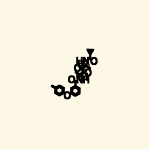 Cc1ccc(Oc2cccc(C(=O)N[C@H]3CO[C@H]4[C@@H]3OC[C@@H]4NC(=O)C3CC3)c2)cc1